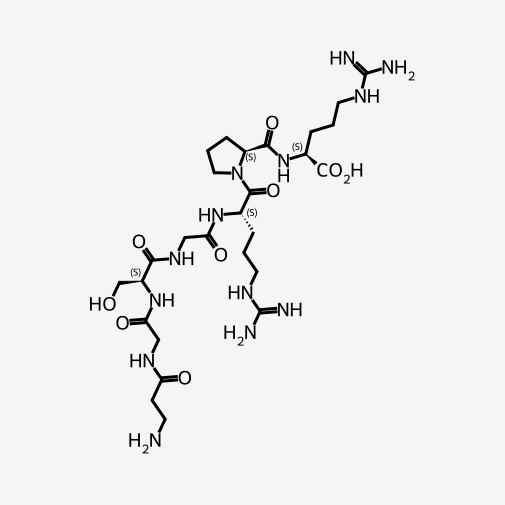 N=C(N)NCCC[C@H](NC(=O)[C@@H]1CCCN1C(=O)[C@H](CCCNC(=N)N)NC(=O)CNC(=O)[C@H](CO)NC(=O)CNC(=O)CCN)C(=O)O